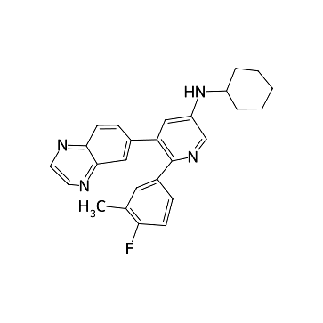 Cc1cc(-c2ncc(NC3CCCCC3)cc2-c2ccc3nccnc3c2)ccc1F